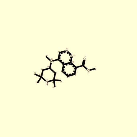 COC(=O)c1cccc2c(N(C)C3CC(C)(C)NC(C)(C)C3)cnnc12